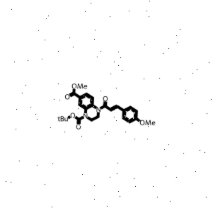 COC(=O)c1ccc2c(c1)N(C(=O)OC(C)(C)C)CCN2C(=O)C=Cc1ccc(OC)cc1